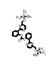 CC(C)(C)[Si](C)(C)OCc1ccnc(-c2ccccc2OC(=O)Oc2ccccc2-c2nccc(CO[Si](C)(C)C(C)(C)C)n2)n1